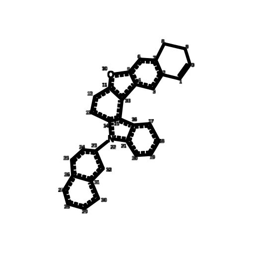 C1=Cc2cc3c(cc2CC1)oc1ccc2c(c4ccccc4n2-c2ccc4ccccc4c2)c13